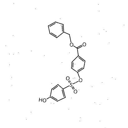 O=C(OCc1ccccc1)c1ccc(OS(=O)(=O)c2ccc(O)cc2)cc1